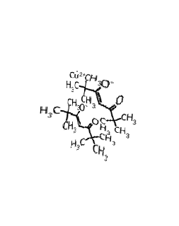 CC(C)(C)C(=O)/C=C(\[O-])C(C)(C)C.CC(C)(C)C(=O)/C=C(\[O-])C(C)(C)C.[Cu+2]